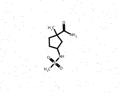 CC1(C(N)=O)CCC(NS(C)(=O)=O)C1